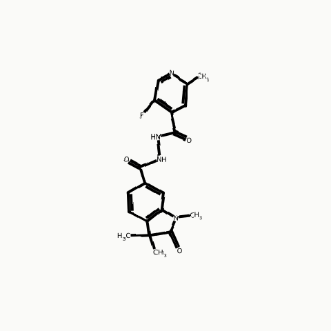 Cc1cc(C(=O)NNC(=O)c2ccc3c(c2)N(C)C(=O)C3(C)C)c(F)cn1